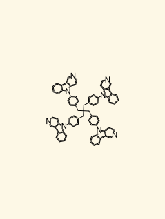 c1ccc2c(c1)c1cnccc1n2-c1ccc(CC(Cc2ccc(-n3c4ccccc4c4cnccc43)cc2)(Cc2ccc(-n3c4ccccc4c4cnccc43)cc2)Cc2ccc(-n3c4ccccc4c4cnccc43)cc2)cc1